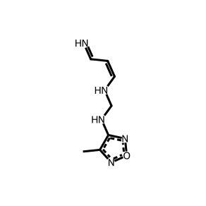 Cc1nonc1NCN/C=C\C=N